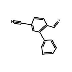 N#Cc1ccc(C=S)c(-c2ccccc2)c1